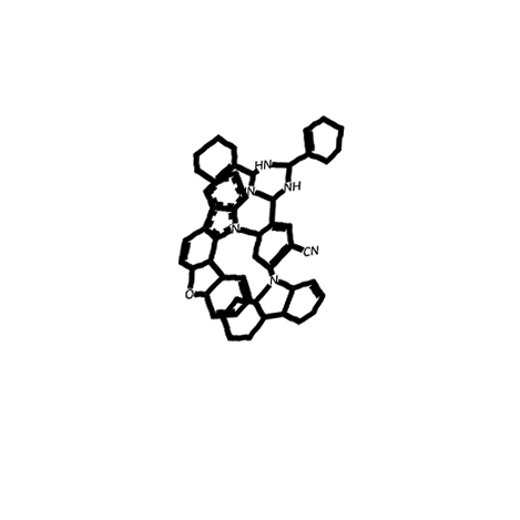 N#CC1=C(N2C3C=CCCC3C3CCCCC32)CC(n2c3c(c4ccccc42)C=CC2OC4C=CC=CC4C32)C(C2NC(C3=CCCCC3)NC(C3=CCCCC3)N2)=C1